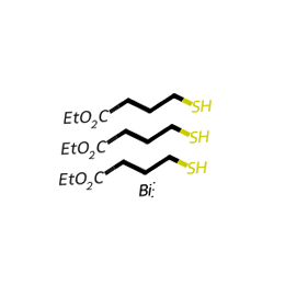 CCOC(=O)CCCS.CCOC(=O)CCCS.CCOC(=O)CCCS.[Bi]